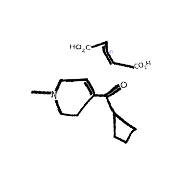 CN1CC=C(C(=O)C2CCC2)CC1.O=C(O)/C=C/C(=O)O